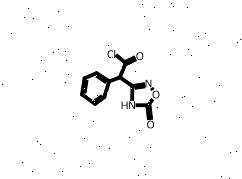 O=C(Cl)C(c1ccccc1)c1noc(=O)[nH]1